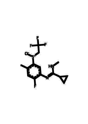 CN/C(=N\c1cc([S+]([O-])CC(F)(F)F)c(C)cc1F)C1CC1